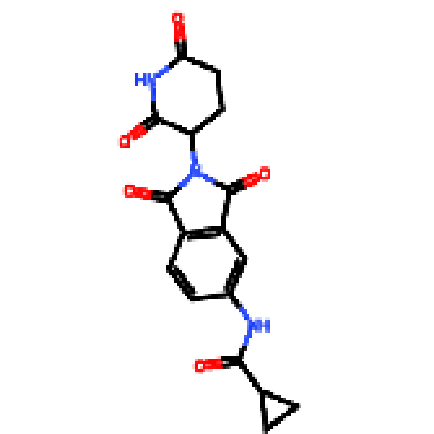 O=C1CCC(N2C(=O)c3ccc(NC(=O)C4CC4)cc3C2=O)C(=O)N1